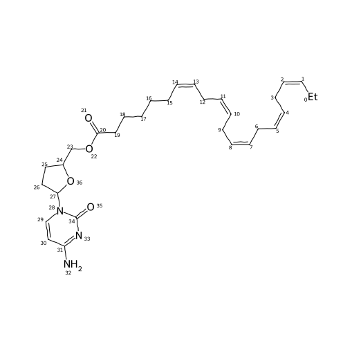 CC/C=C\C/C=C\C/C=C\C/C=C\C/C=C\CCCCCC(=O)OCC1CCC(n2ccc(N)nc2=O)O1